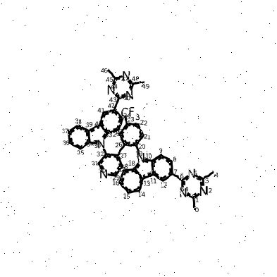 Cc1nc(C)nc(-c2ccc3c(c2)c2ccccc2n3-c2ccc(C(F)(F)F)cc2-c2ccncc2-n2c3ccccc3c3cc(-c4nc(C)nc(C)n4)ccc32)n1